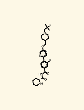 CC(C)(F)CN1CCC(COc2cnc(-c3ccc(C(=O)NC(=O)[C@H]4CCCCN4)cc3F)cn2)CC1